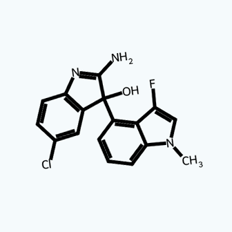 Cn1cc(F)c2c(C3(O)C(N)=Nc4ccc(Cl)cc43)cccc21